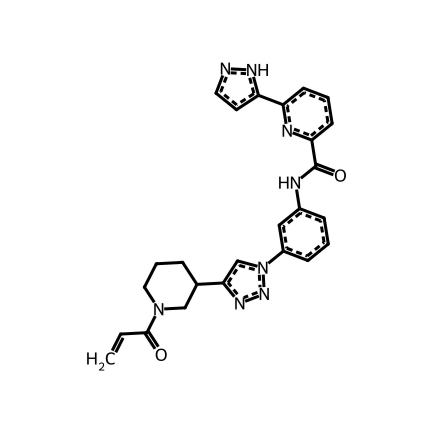 C=CC(=O)N1CCCC(c2cn(-c3cccc(NC(=O)c4cccc(-c5ccn[nH]5)n4)c3)nn2)C1